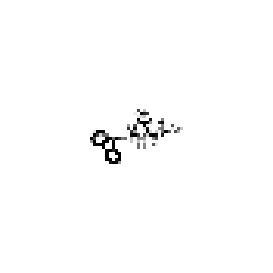 CC(=O)CNC(=O)C(NC(=O)OCC1c2ccccc2-c2ccccc21)C(C)CO